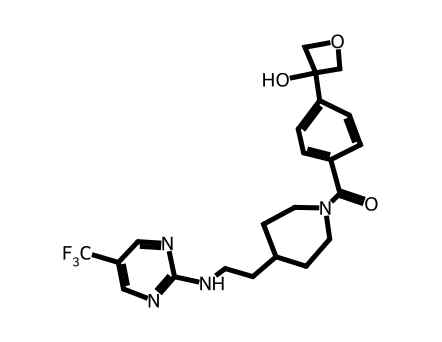 O=C(c1ccc(C2(O)COC2)cc1)N1CCC(CCNc2ncc(C(F)(F)F)cn2)CC1